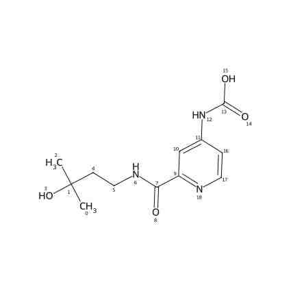 CC(C)(O)CCNC(=O)c1cc(NC(=O)O)ccn1